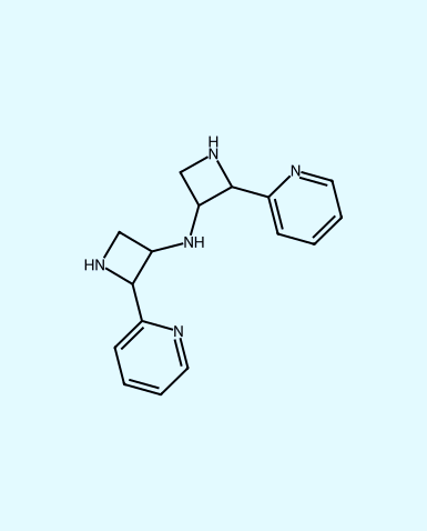 c1ccc(C2NCC2NC2CNC2c2ccccn2)nc1